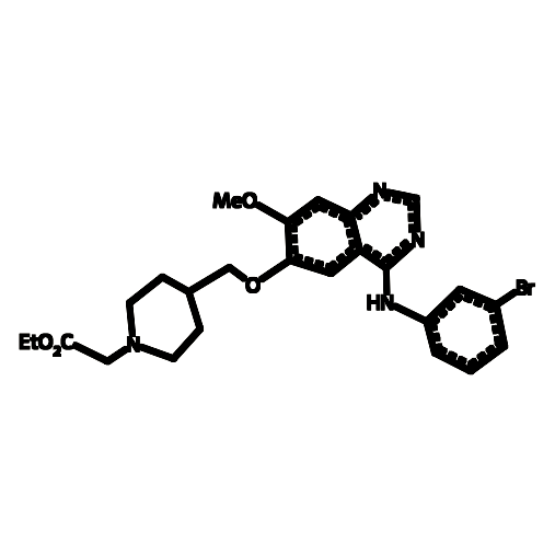 CCOC(=O)CN1CCC(COc2cc3c(Nc4cccc(Br)c4)ncnc3cc2OC)CC1